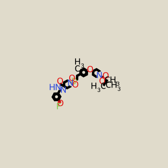 Cc1cc(OC2CCN(C(=O)OC(C)(C)C)CC2)ccc1CCS(=O)(=O)N1CCC2(CC1)N=C(c1cccc(OF)c1)NC2=O